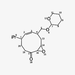 CC(C)C1/C=C\C(COC2CCCCO2)CC2OC2C(=O)CC1